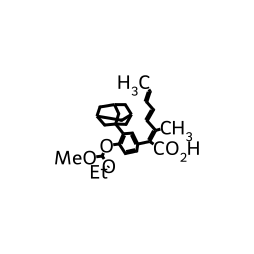 CC=CC=CC(C)=C(C(=O)O)c1ccc(OC(OC)OCC)c(C23CC4CC(CC(C4)C2)C3)c1